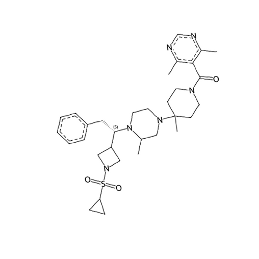 Cc1ncnc(C)c1C(=O)N1CCC(C)(N2CCN([C@@H](Cc3ccccc3)C3CN(S(=O)(=O)C4CC4)C3)C(C)C2)CC1